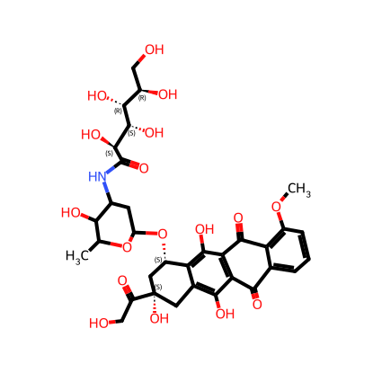 COc1cccc2c1C(=O)c1c(O)c3c(c(O)c1C2=O)C[C@@](O)(C(=O)CO)C[C@@H]3OC1CC(NC(=O)[C@@H](O)[C@@H](O)[C@H](O)[C@H](O)CO)C(O)C(C)O1